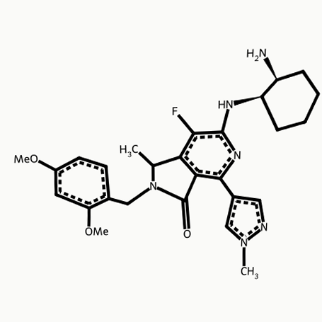 COc1ccc(CN2C(=O)c3c(-c4cnn(C)c4)nc(N[C@@H]4CCCC[C@@H]4N)c(F)c3C2C)c(OC)c1